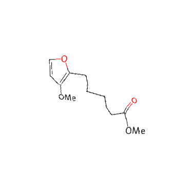 COC(=O)CCCCc1occc1OC